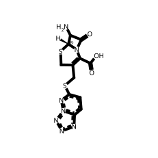 NC1C(=O)N2C(C(=O)O)=C(CSc3ccc4nnnn4n3)CS[C@H]12